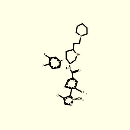 Cc1cc(C(=O)N[C@@H]2CNC(CCN3CCCCC3)C[C@H]2c2ccc(F)c(F)c2)ccc1-c1c(Cl)cnn1C